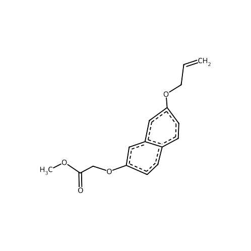 C=CCOc1ccc2ccc(OCC(=O)OC)cc2c1